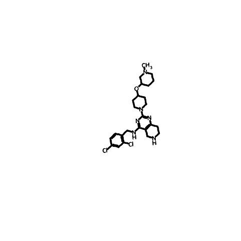 CN1CCCC(OC2CCN(c3nc4c(c(NCc5ccc(Cl)cc5Cl)n3)CNCC4)CC2)C1